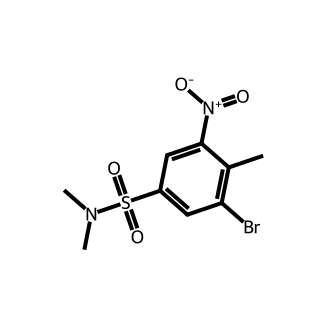 Cc1c(Br)cc(S(=O)(=O)N(C)C)cc1[N+](=O)[O-]